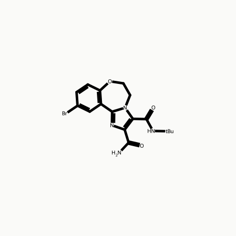 CC(C)(C)NC(=O)c1c(C(N)=O)nc2n1CCOc1ccc(Br)cc1-2